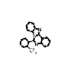 FC(F)(F)c1ccccc1-c1nc2ccccc2c2nc3ccccc3n12